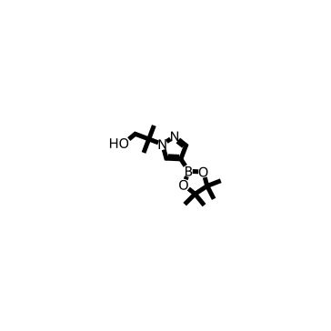 CC(C)(CO)n1cc(B2OC(C)(C)C(C)(C)O2)cn1